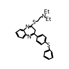 CCN(CC)CCSC1=Nc2ccccc2N=C(c2ccc(Sc3ccccc3)cc2)C1